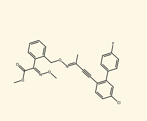 CO/N=C(/C(=O)OC)c1ccccc1CO/N=C(\C)C#Cc1ccc(Cl)cc1-c1ccc(F)cc1